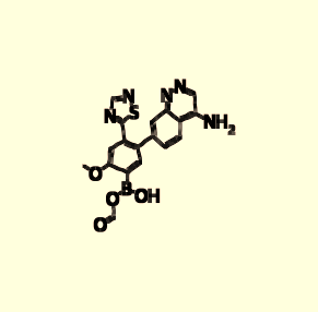 COc1cc(-c2ncns2)c(-c2ccc3c(N)cnnc3c2)cc1B(O)OC=O